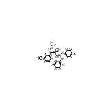 C=C[C@@H](c1cccc(O)c1)[C@@H](C)CN(Cc1ccccc1)Cc1ccccc1